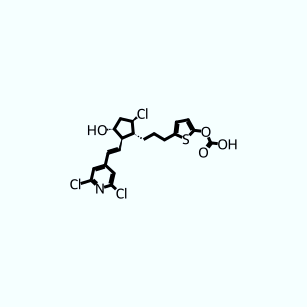 O=C(O)Oc1ccc(CCC[C@@H]2[C@@H](/C=C/c3cc(Cl)nc(Cl)c3)[C@H](O)C[C@H]2Cl)s1